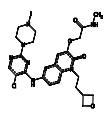 CNC(=O)COc1cc2cc(Nc3nc(N4CCN(I)CC4)ncc3Cl)ccc2n(CCC2COC2)c1=O